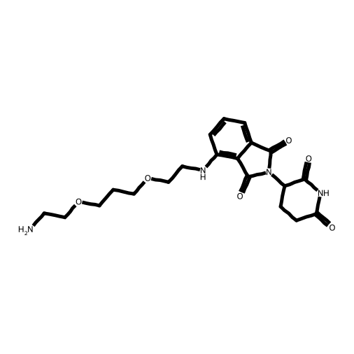 NCCOCCCOCCNc1cccc2c1C(=O)N(C1CCC(=O)NC1=O)C2=O